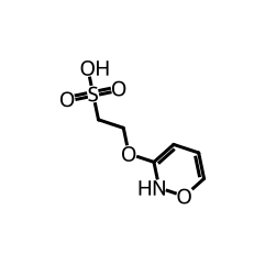 O=S(=O)(O)CCOC1=CC=CON1